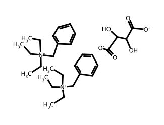 CC[N+](CC)(CC)Cc1ccccc1.CC[N+](CC)(CC)Cc1ccccc1.O=C([O-])C(O)C(O)C(=O)[O-]